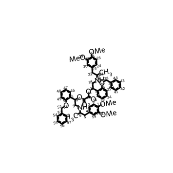 COc1ccc(CC(C)NCC(OC(=O)C(=O)OC(CNC(C)Cc2ccc(OC)c(OC)c2)c2ccccc2OCc2ccccc2)c2ccccc2OCc2ccccc2)cc1OC